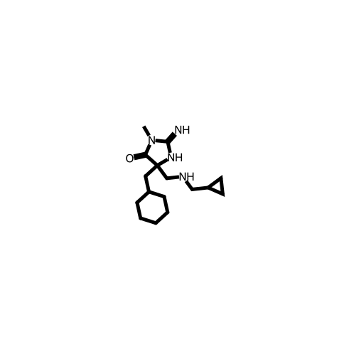 CN1C(=N)NC(CNCC2CC2)(CC2CCCCC2)C1=O